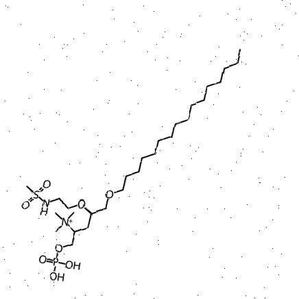 CCCCCCCCCCCCCCCCOCC(CC(COP(=O)(O)O)[N+](C)(C)C)OCCNS(C)(=O)=O